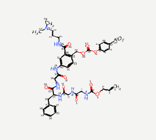 C=CCOC(=O)NCC(=O)NCC(=O)N[C@@H](Cc1ccccc1)C(=O)NCC(=O)Nc1ccc(COC(=O)Oc2ccc([N+](=O)[O-])cc2)c(C(=O)NCCCN(C)C)c1